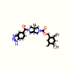 Cc1cc(COC(=O)N2CC3=CN(C(=O)c4ccc5[nH]nnc5c4)C[C@H]3C2)c(C(C)C)cc1C#N